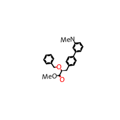 CNc1cccc(-c2ccc(C[C@H](OCc3ccccc3)C(=O)OC)cc2)c1